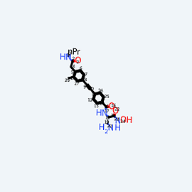 CCCNC(=O)Cc1ccc(C#Cc2ccc(C(=O)N[C@@H](CN)C(=O)NO)cc2)cc1C